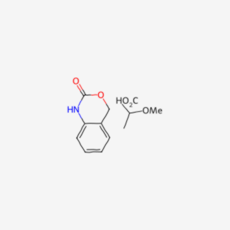 COC(C)C(=O)O.O=C1Nc2ccccc2CO1